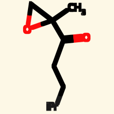 CC(C)CCC(=O)C1(C)CO1